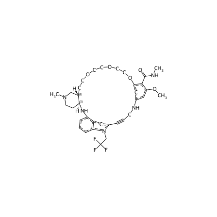 CNC(=O)c1c(OC)cc2cc1OCCOCCOCC[C@H]1CN(C)CC[C@@H]1Nc1cccc3c1cc(n3CC(F)(F)F)C#CCN2